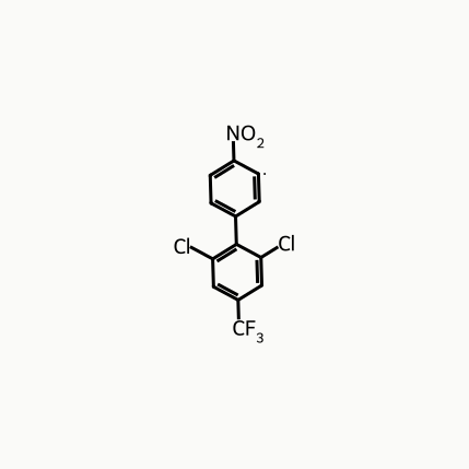 O=[N+]([O-])c1[c]cc(-c2c(Cl)cc(C(F)(F)F)cc2Cl)cc1